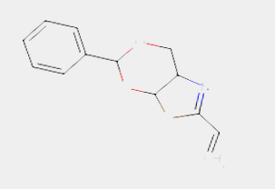 C=CC1=NC2COC(c3ccccc3)OC2S1